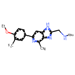 CCOc1ccc(-c2cc3[nH]c(CNC(C)(C)C)nc3c(C#N)n2)cc1C(F)(F)F